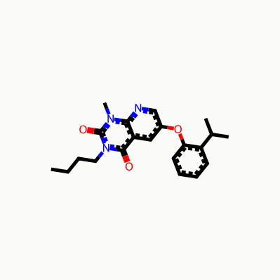 CCCCn1c(=O)c2cc(Oc3ccccc3C(C)C)cnc2n(C)c1=O